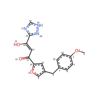 COc1ccc(Cc2coc(C(=O)C=C(O)c3nc[nH]n3)c2)cc1